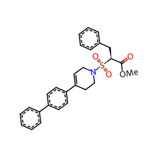 COC(=O)[C@H](Cc1ccccc1)S(=O)(=O)N1CC=C(c2ccc(-c3ccccc3)cc2)CC1